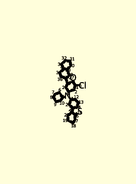 Clc1cc(N(c2ccccc2)c2ccc3sc4ccccc4c3c2)cc2c1oc1c3ccccc3ccc21